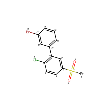 CCS(=O)(=O)c1c[c]c(Cl)c(-c2cccc(Br)c2)c1